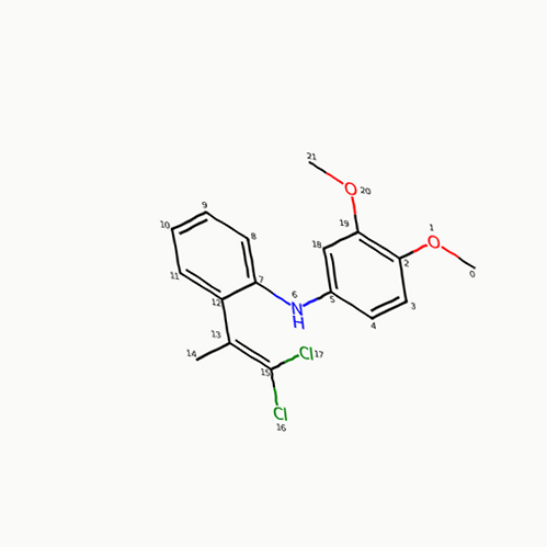 COc1ccc(Nc2ccccc2C(C)=C(Cl)Cl)cc1OC